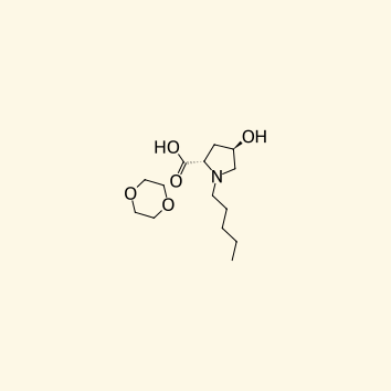 C1COCCO1.CCCCCN1C[C@H](O)C[C@H]1C(=O)O